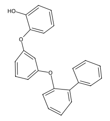 Oc1ccccc1Oc1cccc(Oc2ccccc2-c2ccccc2)c1